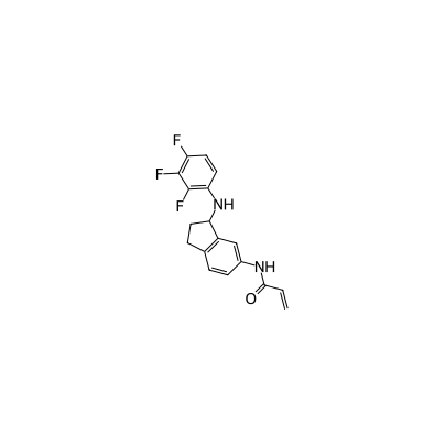 C=CC(=O)Nc1ccc2c(c1)C(Nc1ccc(F)c(F)c1F)CC2